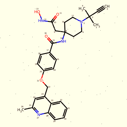 C#CC(C)(C)N1CCC(CC(=O)NO)(NC(=O)c2ccc(OCc3cc(C)nc4ccccc34)cc2)CC1